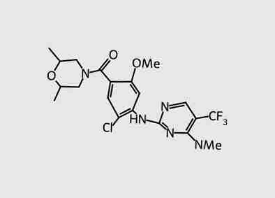 CNc1nc(Nc2cc(OC)c(C(=O)N3CC(C)OC(C)C3)cc2Cl)ncc1C(F)(F)F